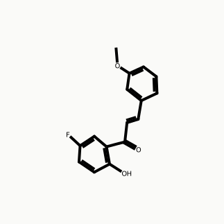 COc1cccc(C=CC(=O)c2cc(F)ccc2O)c1